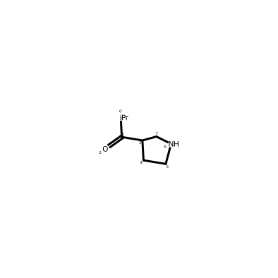 [CH2]C(C)C(=O)C1CCNC1